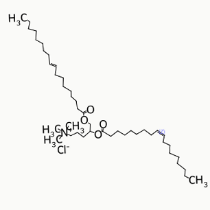 CCCCCCCCC=CCCCCCCCC(=O)OCC(CCC[N+](C)(C)C)OC(=O)CCCCCCC/C=C\CCCCCCCC.[Cl-]